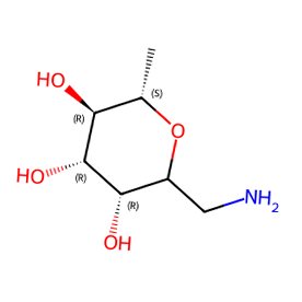 C[C@@H]1OC(CN)[C@H](O)[C@H](O)[C@H]1O